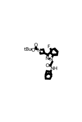 CC(C)(C)OC(=O)N1CC(c2nn(CC(=O)NC3CC4CCC3C4)c3cccc(F)c23)C1